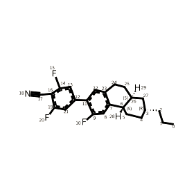 CCC[C@@H]1CC[C@@H]2c3cc(F)c(-c4cc(F)c(C#N)c(F)c4)cc3CC[C@H]2C1